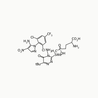 CP(=O)(O)CCC(N)C(=O)O.CSc1nnc(C(C)(C)C)c(=O)n1N.Nc1c([N+](=O)[O-])cnn1-c1c(Cl)cc(C(F)(F)F)cc1Cl